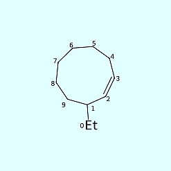 [CH2]CC1C=CCCCCCC1